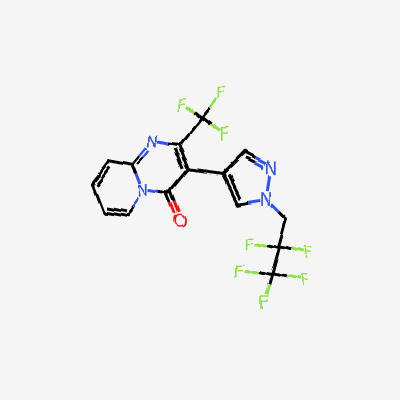 O=c1c(-c2cnn(CC(F)(F)C(F)(F)F)c2)c(C(F)(F)F)nc2ccccn12